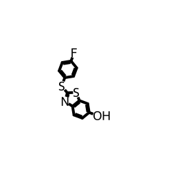 Oc1ccc2nc(Sc3ccc(F)cc3)sc2c1